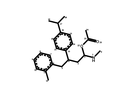 CNC(CC(Cc1ccccc1C)c1ccc(C(C)C)cc1)OC(C)=O